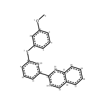 COc1cccc(Sc2cccc(-c3ncc4ccccc4n3)n2)c1